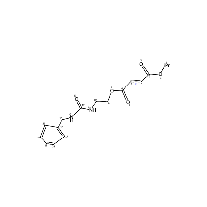 CC(C)OC(=O)/C=C/C(=O)OCCNC(=O)NCc1ccccc1